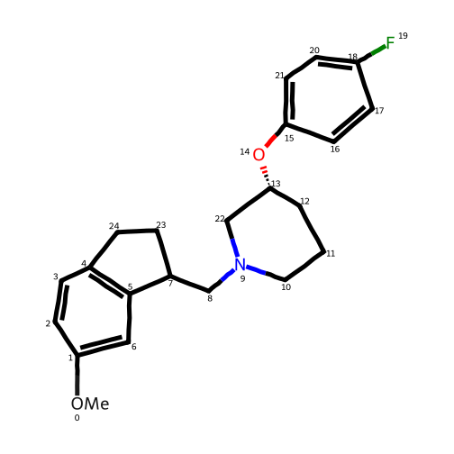 COc1ccc2c(c1)C(CN1CCC[C@@H](Oc3ccc(F)cc3)C1)CC2